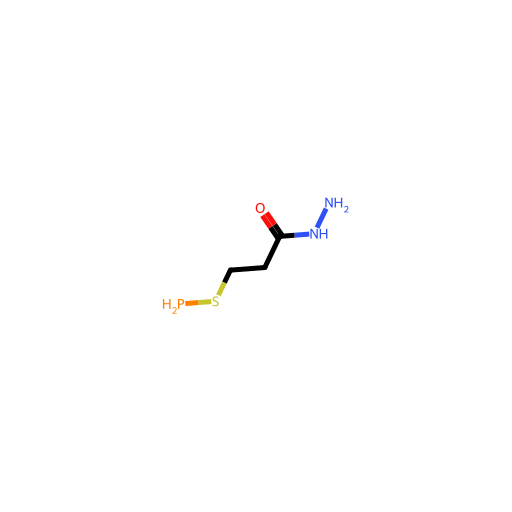 NNC(=O)CCSP